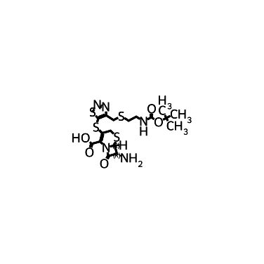 CC(C)(C)OC(=O)NCCSCc1nnsc1SC1=C(C(=O)O)N2C(=O)[C@@H](N)[C@H]2SC1